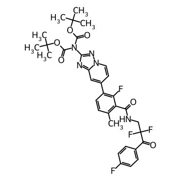 Cc1ccc(-c2ccn3nc(N(C(=O)OC(C)(C)C)C(=O)OC(C)(C)C)nc3c2)c(F)c1C(=O)NCC(F)(F)C(=O)c1ccc(F)cc1